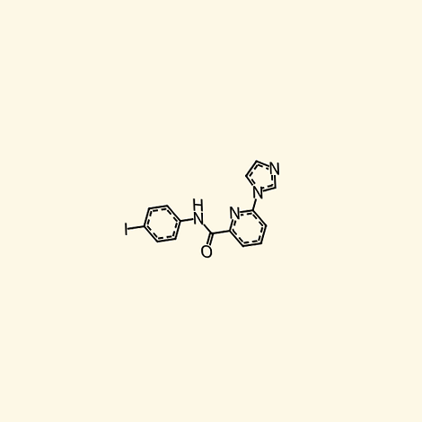 O=C(Nc1ccc(I)cc1)c1cccc(-n2ccnc2)n1